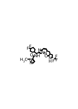 CCn1nccc1C(=O)NC(c1cn2nc(CC3C[C@H](C(F)(F)F)NC3=O)ccc2n1)C1CCC(F)(F)CC1